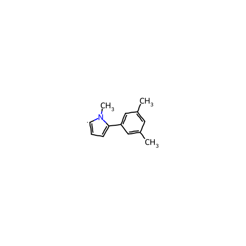 Cc1cc(C)cc(-c2cc[c]n2C)c1